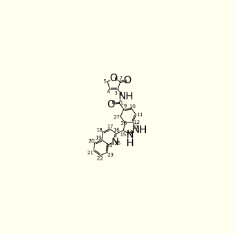 O=C(NC1=CCOC1=O)C1=CC=C2NNC(c3ccc4ccccc4n3)C2C1